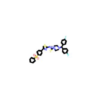 O=S(=O)(c1ccccc1)c1ccc(-c2csc(NC(=S)N3CCN(C(c4ccc(F)cc4)c4ccc(F)cc4)CC3)n2)cc1